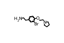 NCCc1ccc(OCCN2CCCC2)c(Br)c1